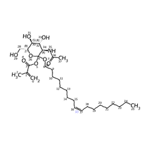 C=C(C)C(=O)OC1(OCCCCCCCC/C=C\CCCCCCCC)O[C@H](CO)[C@@H](O)[C@H](O)[C@H]1NC(C)=O